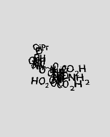 CC(C)NC(CC(=O)O)C(=O)NC(CCCCN)C(=O)NC(CC(=O)O)C(=O)NC(CSC1CC(=O)N(CCCCCC(=O)NCC(=O)N2CCCC2C(=O)Nc2ccc(COC(=O)C(C)C)cc2)C1=O)C(=O)O